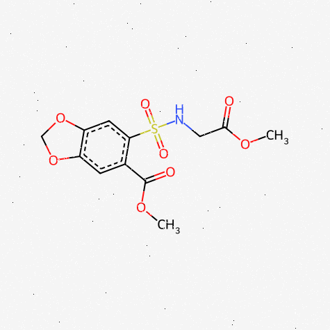 COC(=O)CNS(=O)(=O)c1cc2c(cc1C(=O)OC)OCO2